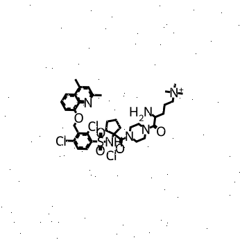 Cc1cc(C)c2cccc(OCc3c(Cl)ccc(S(=O)(=O)NC4(C(=O)N5CCN(C(=O)C(N)CCC[N+](C)(C)C)CC5)CCCC4)c3Cl)c2n1.[Cl-]